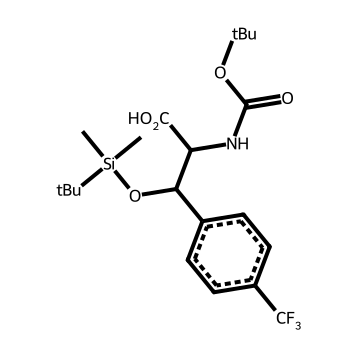 CC(C)(C)OC(=O)NC(C(=O)O)C(O[Si](C)(C)C(C)(C)C)c1ccc(C(F)(F)F)cc1